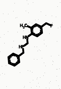 Cc1cc(CF)ccc1NCPCc1ccccc1